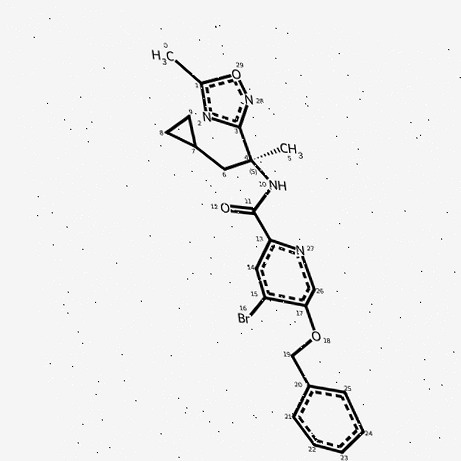 Cc1nc([C@](C)(CC2CC2)NC(=O)c2cc(Br)c(OCc3ccccc3)cn2)no1